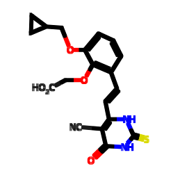 N#Cc1c(/C=C/c2cccc(OCC3CC3)c2OCC(=O)O)[nH]c(=S)[nH]c1=O